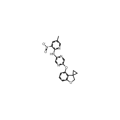 Cc1cnc(Nc2cnc(Oc3cccc4c3C3(CC3)CO4)cn2)c([N+](=O)[O-])c1